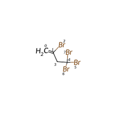 C=C(Br)CC(Br)(Br)Br